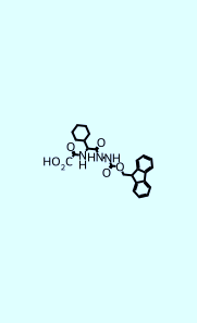 O=C(NNC(=O)C(NC(=O)C(=O)O)C1CCCCC1)OCC1c2ccccc2-c2ccccc21